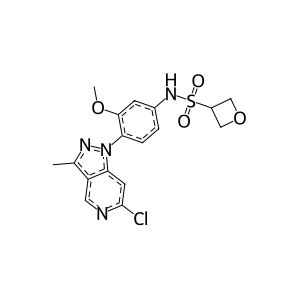 COc1cc(NS(=O)(=O)C2COC2)ccc1-n1nc(C)c2cnc(Cl)cc21